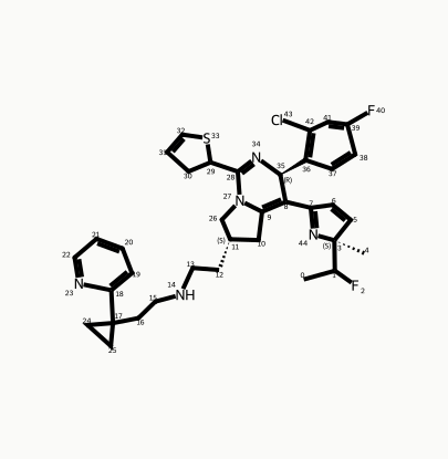 CC(F)[C@]1(C)C=CC(C2=C3C[C@H](CCNCCC4(c5ccccn5)CC4)CN3C(C3CC=CS3)=N[C@H]2c2ccc(F)cc2Cl)=N1